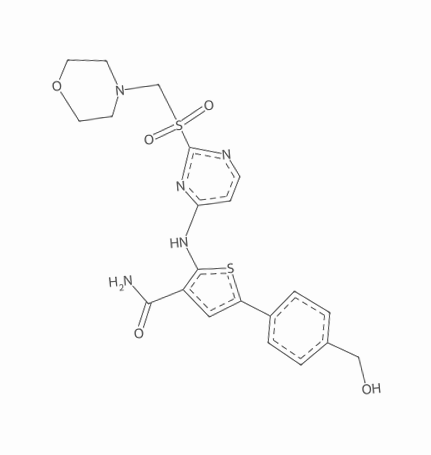 NC(=O)c1cc(-c2ccc(CO)cc2)sc1Nc1ccnc(S(=O)(=O)CN2CCOCC2)n1